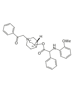 COc1ccccc1NC(C(=O)O[C@H]1C[N+]2(CC(=O)c3ccccc3)CCC1CC2)c1ccccc1